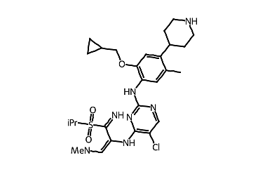 CN/C=C(/Nc1nc(Nc2cc(C)c(C3CCNCC3)cc2OCC2CC2)ncc1Cl)C(=N)S(=O)(=O)C(C)C